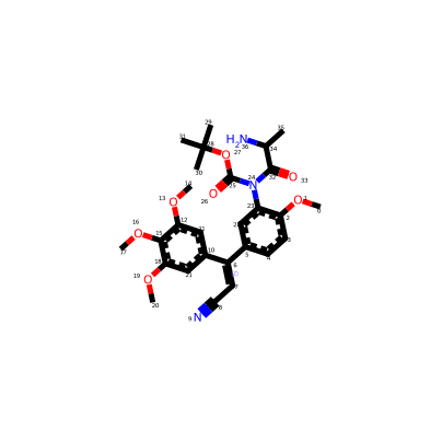 COc1ccc(/C(=C/C#N)c2cc(OC)c(OC)c(OC)c2)cc1N(C(=O)OC(C)(C)C)C(=O)C(C)N